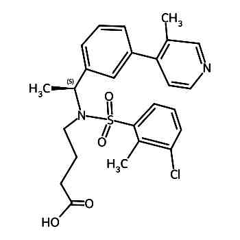 Cc1cnccc1-c1cccc([C@H](C)N(CCCC(=O)O)S(=O)(=O)c2cccc(Cl)c2C)c1